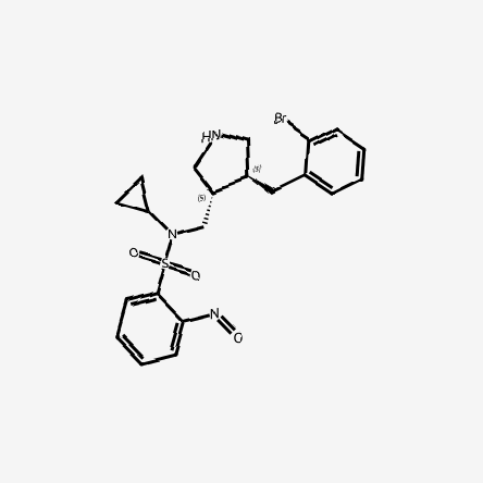 O=Nc1ccccc1S(=O)(=O)N(C[C@@H]1CNC[C@H]1Cc1ccccc1Br)C1CC1